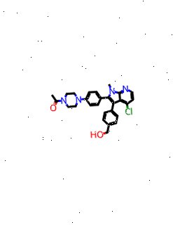 CC(=O)N1CCN(c2ccc(-c3c(-c4ccc(CO)cc4)c4c(Cl)ccnc4n3C)cc2)CC1